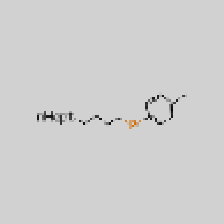 CCCCCCCCCCC[P]c1ccc(C)cc1